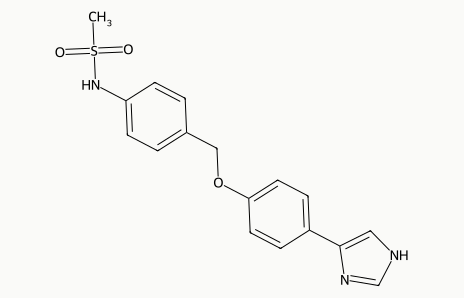 CS(=O)(=O)Nc1ccc(COc2ccc(-c3c[nH]cn3)cc2)cc1